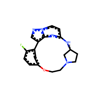 Fc1ccc2cc1-c1cnn3ccc(nc13)N[C@@H]1CCN(CCO2)C1